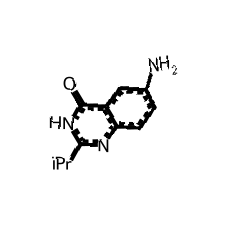 CC(C)c1nc2ccc(N)cc2c(=O)[nH]1